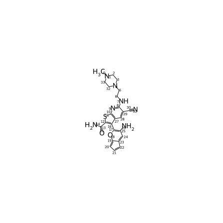 CN1CCN(CCNc2nc3sc(C(N)=O)c(-c4oc5cccc-5cc4N)c3cc2C#N)CC1